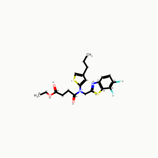 CCCc1csc(N(Cc2nc3ccc(F)c(F)c3s2)C(=O)CCC(=O)OCC)c1